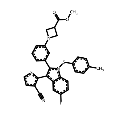 COC(=O)C1CN(c2cccc(-c3c(-c4sccc4C#N)c4cc(F)ccc4n3Sc3ccc(C)cc3)c2)C1